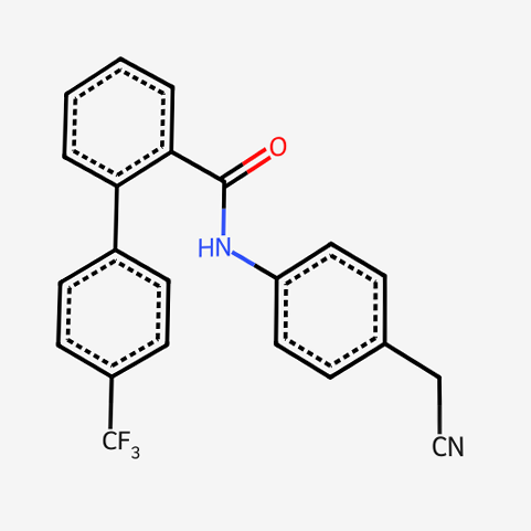 N#CCc1ccc(NC(=O)c2ccccc2-c2ccc(C(F)(F)F)cc2)cc1